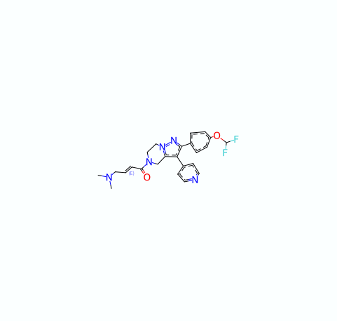 CN(C)C/C=C/C(=O)N1CCn2nc(-c3ccc(OC(F)F)cc3)c(-c3ccncc3)c2C1